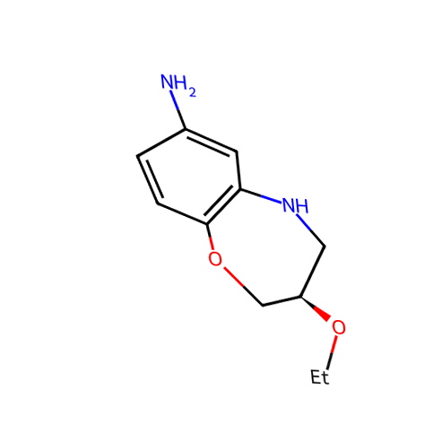 CCO[C@@H]1CNc2cc(N)ccc2OC1